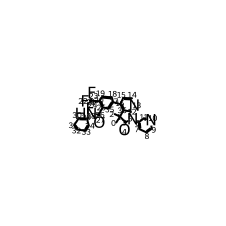 CC1(C)C(=O)N(c2cccnc2)c2nccc(-c3ccc(C(F)(F)F)c(C(=O)Nc4ccccc4)c3)c21